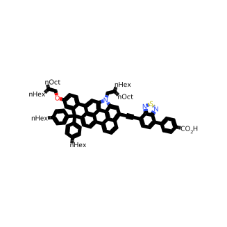 CCCCCCCCC(CCCCCC)COc1ccc2c(c1)C(c1ccc(CCCCCC)cc1)(c1ccc(CCCCCC)cc1)c1ccc3c4cccc5c(C#Cc6ccc(-c7ccc(C(=O)O)cc7)c7nsnc67)cc6c(c54)c4c3c1c-2cc4n6CC(CCCCCC)CCCCCCCC